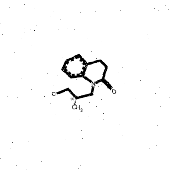 C[C@H](CCl)CN1C(=O)CCc2ccccc21